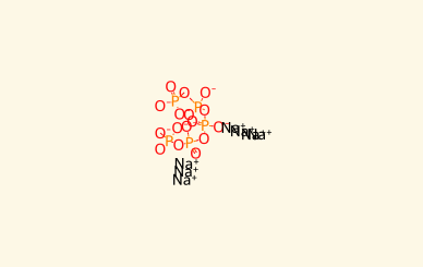 O=P([O-])([O-])OP(=O)([O-])OP(=O)([O-])OP(=O)([O-])OP(=O)([O-])[O-].[Na+].[Na+].[Na+].[Na+].[Na+].[Na+].[Na+]